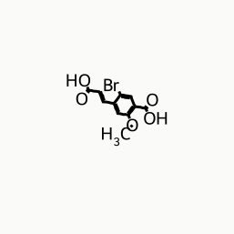 COc1cc(C=CC(=O)O)c(Br)cc1C(=O)O